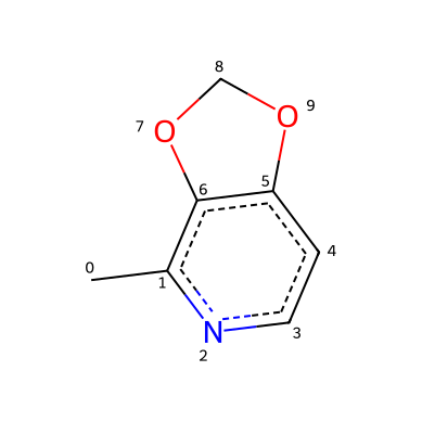 Cc1nccc2c1OCO2